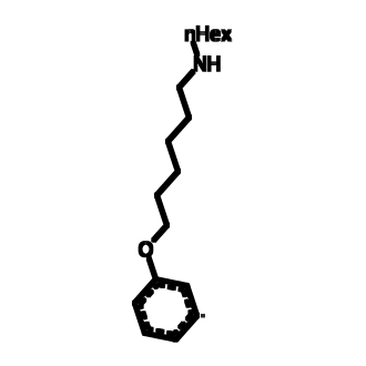 CCCCCCNCCCCCCOc1c[c]ccc1